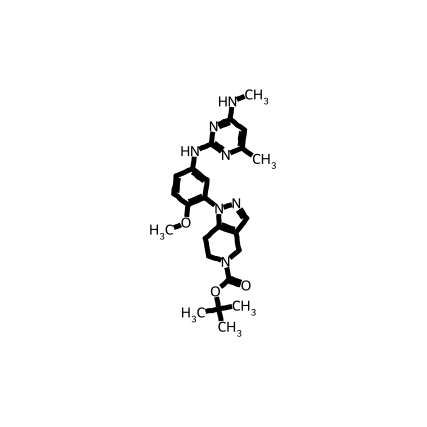 CNc1cc(C)nc(Nc2ccc(OC)c(-n3ncc4c3CCN(C(=O)OC(C)(C)C)C4)c2)n1